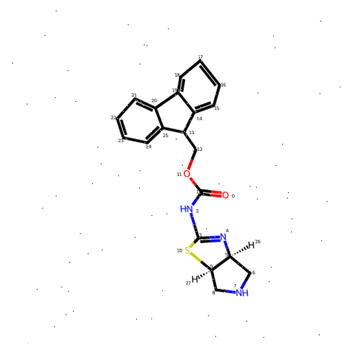 O=C(NC1=N[C@H]2CNC[C@H]2S1)OCC1c2ccccc2-c2ccccc21